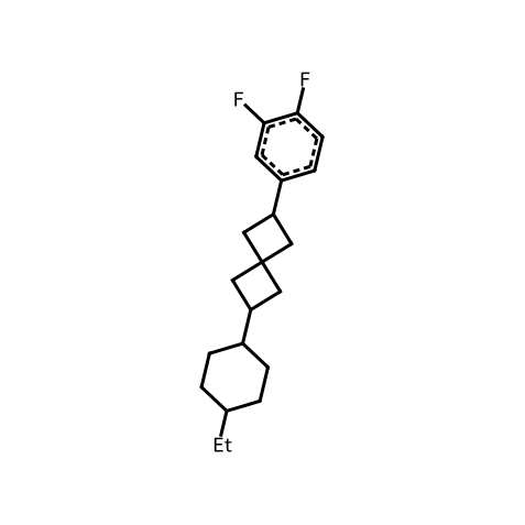 CCC1CCC(C2CC3(CC(c4ccc(F)c(F)c4)C3)C2)CC1